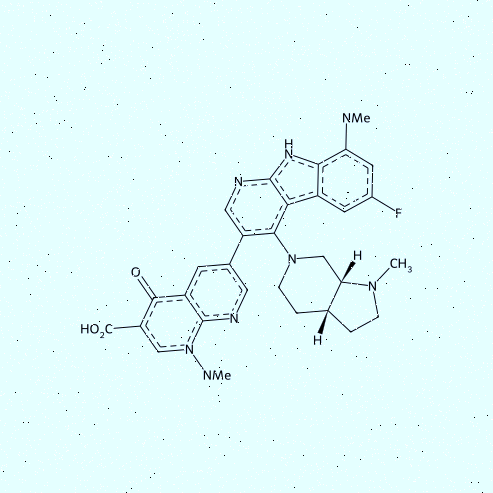 CNc1cc(F)cc2c1[nH]c1ncc(-c3cnc4c(c3)c(=O)c(C(=O)O)cn4NC)c(N3CC[C@H]4CCN(C)[C@H]4C3)c12